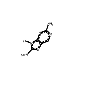 CCn1c(NC)nc2cnc(N)nc21